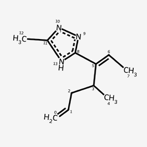 C=CCC(C)/C(=C\C)c1nnc(C)[nH]1